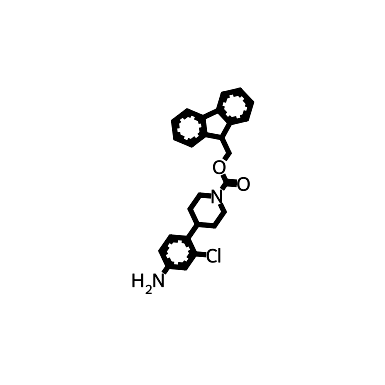 Nc1ccc(C2CCN(C(=O)OCC3c4ccccc4-c4ccccc43)CC2)c(Cl)c1